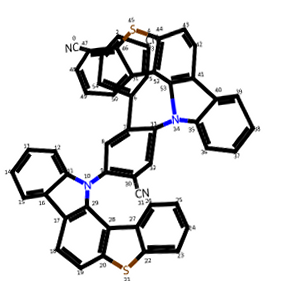 N#Cc1cc(C#N)cc(-c2cc(-n3c4ccccc4c4ccc5sc6ccccc6c5c43)c(C#N)cc2-n2c3ccccc3c3ccc4sc5ccccc5c4c32)c1